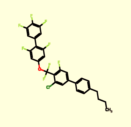 CCCCc1ccc(-c2cc(F)c(C(F)(F)Oc3cc(F)c(-c4cc(F)c(F)c(F)c4)c(F)c3)c(Cl)c2)cc1